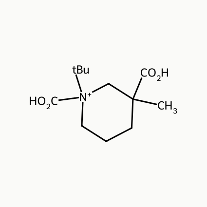 CC1(C(=O)O)CCC[N+](C(=O)O)(C(C)(C)C)C1